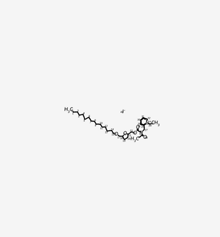 CCCCCCCCCCCCCCCCOCC1CCC(COC(=O)N(Cc2cccc[n+]2CC)C(C)=O)O1.[I-]